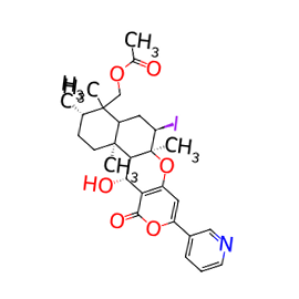 CC(=O)OCC1(C)C2C[C@@H](I)[C@@]3(C)Oc4cc(-c5cccnc5)oc(=O)c4[C@H](O)C3[C@@]2(C)CC[C@@H]1C